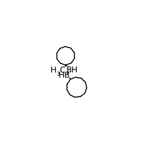 CC1(BBC2CCCCCCCCCC2)CCCCCCCCC1